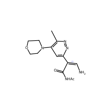 CC(=O)NC(=O)/C(=C\N)c1cc(N2CCOCC2)c(C)nn1